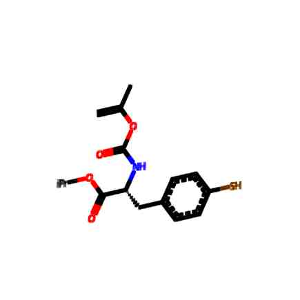 C=C(C)OC(=O)N[C@H](Cc1ccc(S)cc1)C(=O)OC(C)C